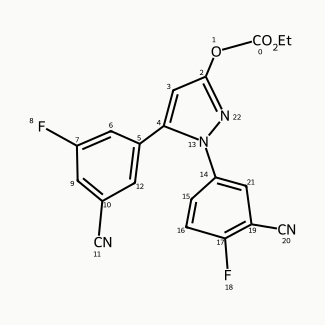 CCOC(=O)Oc1cc(-c2cc(F)cc(C#N)c2)n(-c2ccc(F)c(C#N)c2)n1